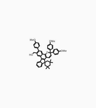 COc1ccc(-c2cc3c4c(c5c(c3cc2CO)-c2ccccc2C52CC(C)(C)CC(C)(C)C2)C=CC(c2ccc(OC)cc2)(c2ccc(OC)cc2)O4)cc1